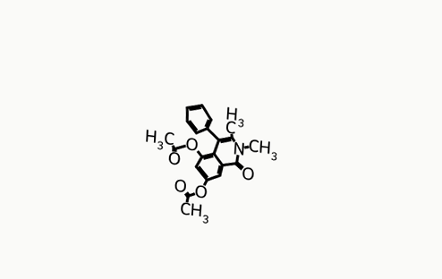 CC(=O)Oc1cc(OC(C)=O)c2c(-c3ccccc3)c(C)n(C)c(=O)c2c1